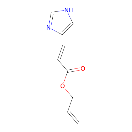 C=CCOC(=O)C=C.c1c[nH]cn1